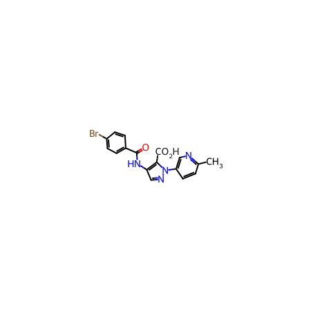 Cc1ccc(-n2ncc(NC(=O)c3ccc(Br)cc3)c2C(=O)O)cn1